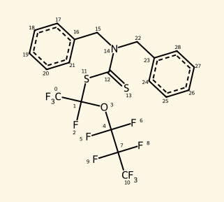 FC(F)(F)C(F)(OC(F)(F)C(F)(F)C(F)(F)F)SC(=S)N(Cc1ccccc1)Cc1ccccc1